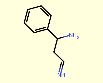 N=CCC(N)c1ccccc1